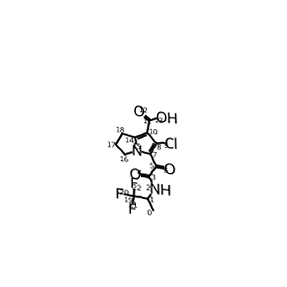 CC(NC(=O)C(=O)c1c(Cl)c(C(=O)O)c2n1CCC2)C(F)(F)F